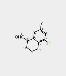 Cc1cc(F)c2c(c1)C(C=O)CCC2